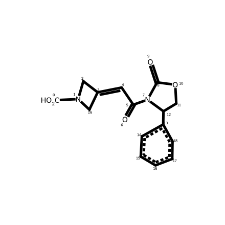 O=C(O)N1CC(=CC(=O)N2C(=O)OCC2c2ccccc2)C1